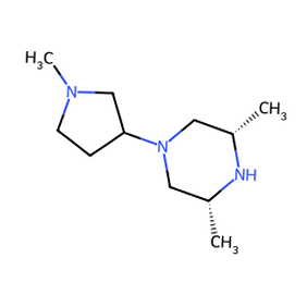 C[C@@H]1CN(C2CCN(C)C2)C[C@H](C)N1